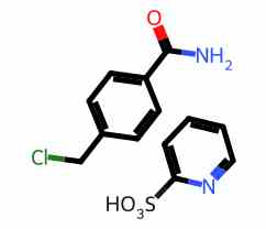 NC(=O)c1ccc(CCl)cc1.O=S(=O)(O)c1ccccn1